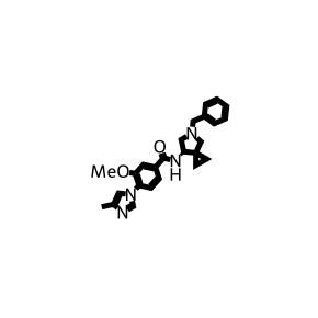 COc1cc(C(=O)N[C@H]2CN(Cc3ccccc3)CC23CC3)ccc1-n1cnc(C)c1